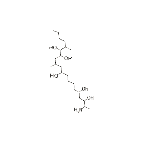 CCCCC(C)C(O)C(O)CC(C)CC(O)CCCCC(O)CC(O)C(C)N